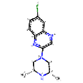 C[C@@H]1CN(c2cnc3cc(F)ccc3n2)C[C@H](C)N1